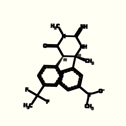 CN1C(=N)N[C@](C)(c2cccc([S+](C)[O-])c2)[C@H](c2ccc(C(C)(F)F)cc2)C1=O